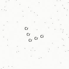 [Cr].[Cr].[Cr].[Cr].[Cr]